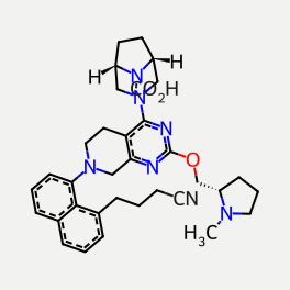 CN1CCC[C@H]1COc1nc2c(c(N3C[C@H]4CC[C@@H](C3)N4C(=O)O)n1)CCN(c1cccc3cccc(CCCC#N)c13)C2